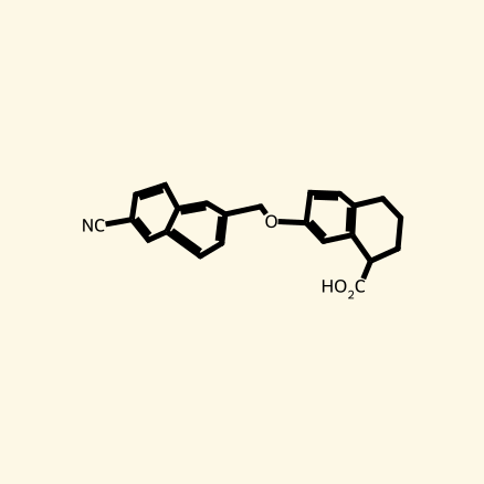 N#Cc1ccc2cc(COc3ccc4c(c3)C(C(=O)O)CCC4)ccc2c1